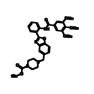 COc1cc(C(=O)Nc2ccccc2-c2nc3cc(CN4CCN(C(=O)OC(C)(C)C)CC4)ccc3o2)cc(OC)c1OC